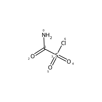 NC(=O)S(=O)(=O)Cl